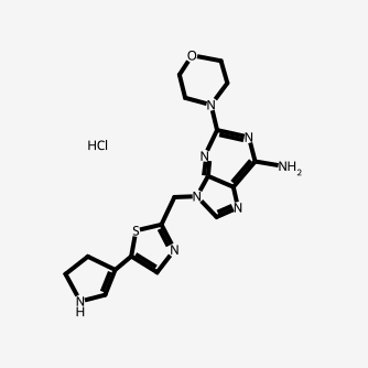 Cl.Nc1nc(N2CCOCC2)nc2c1ncn2Cc1ncc(C2=CNCC2)s1